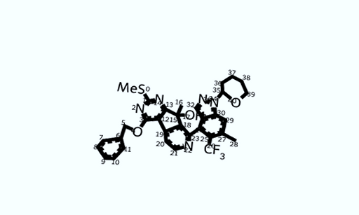 CSc1nc(OCc2ccccc2)c2c(n1)C(C)(O)c1c-2ccnc1-c1c(C(F)(F)F)c(C)cc2c1cnn2C1CCCCO1